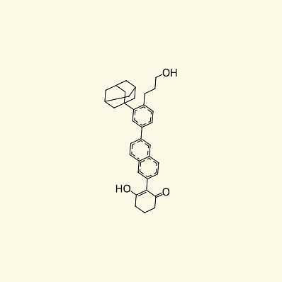 O=C1CCCC(O)=C1c1ccc2cc(-c3ccc(CCCO)c(C45CC6CC(CC(C6)C4)C5)c3)ccc2c1